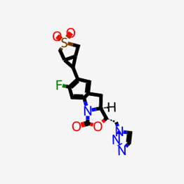 O=C1O[C@@H](Cn2ccnn2)[C@@H]2Cc3cc(C4C5CS(=O)(=O)CC54)c(F)cc3N12